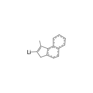 [Li][C]1=C(C)c2c(ccc3ccccc23)C1